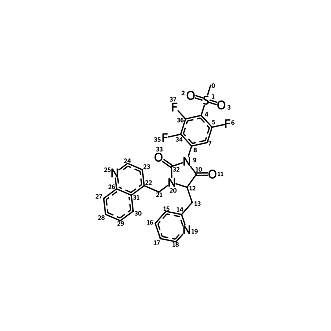 CS(=O)(=O)c1c(F)cc(N2C(=O)C(Cc3ccccn3)N(Cc3ccnc4ccccc34)C2=O)c(F)c1F